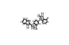 Cc1ccnc2c1[nH]c(=O)n2-c1ccc(Oc2nc3ccccc3[nH]2)cc1.Cl.Cl